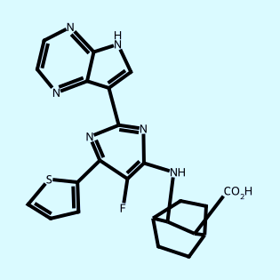 O=C(O)C1C2CCC(CC2)C1Nc1nc(-c2c[nH]c3nccnc23)nc(-c2cccs2)c1F